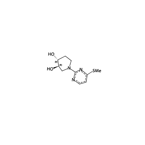 CSc1ccnc(N2CC[C@@H](O)[C@H](O)C2)n1